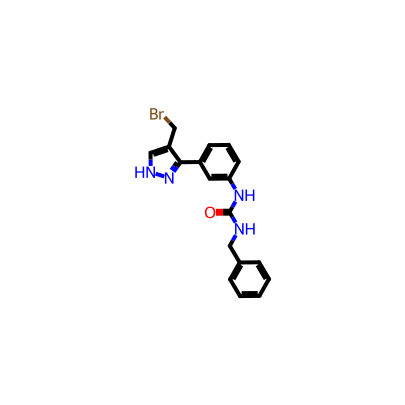 O=C(NCc1ccccc1)Nc1cccc(-c2n[nH]cc2CBr)c1